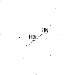 Br.CCCCCCCCCCCCCCONC